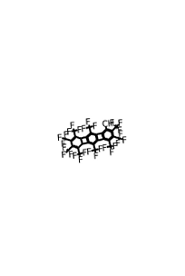 Cc1c2c(c(C(F)(F)F)c(C(F)(F)F)c1C(F)(F)F)-c1c-2c(C(F)(F)F)c2c(c1C(F)(F)F)C1C(C(F)(F)F)=C(C(F)(F)F)C(C(F)(F)F)=C(C(F)(F)F)C21